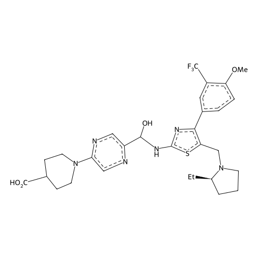 CC[C@@H]1CCCN1Cc1sc(NC(O)c2cnc(N3CCC(C(=O)O)CC3)cn2)nc1-c1ccc(OC)c(C(F)(F)F)c1